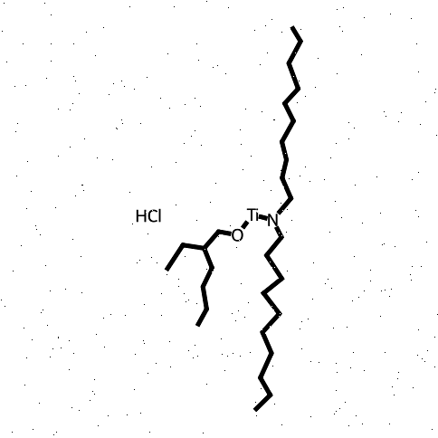 CCCCCCCCCC[N](CCCCCCCCCC)[Ti][O]CC(CC)CCCC.Cl